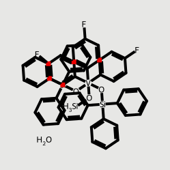 Fc1cc[c]([V]([O][SiH3])([O][Si](c2ccccc2)(c2ccccc2)c2ccccc2)([O][Si](c2ccccc2)(c2ccccc2)c2ccccc2)([c]2ccc(F)cc2)[c]2ccc(F)cc2)cc1.O